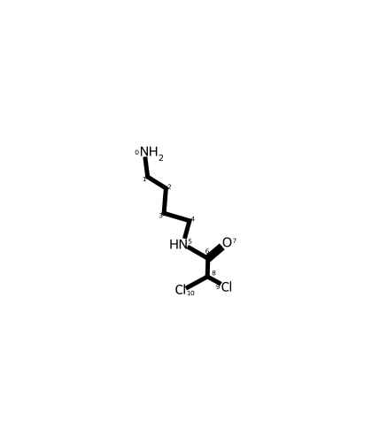 NCCCCNC(=O)C(Cl)Cl